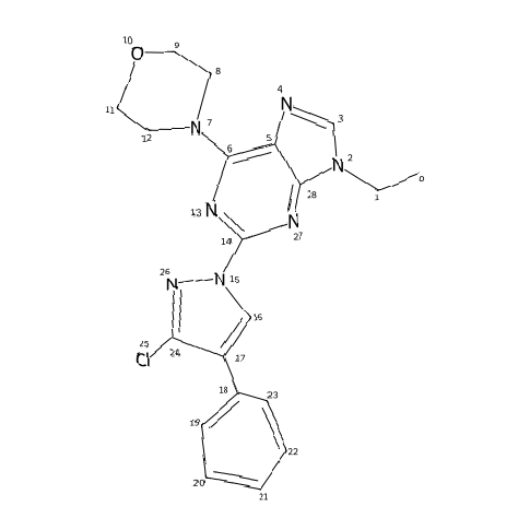 CCn1cnc2c(N3CCOCC3)nc(-n3cc(-c4ccccc4)c(Cl)n3)nc21